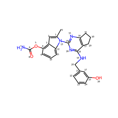 Cc1cc2c(OC(N)=O)cccc2n1-c1nc2c(c(NCc3cccc(O)c3)n1)CCC2